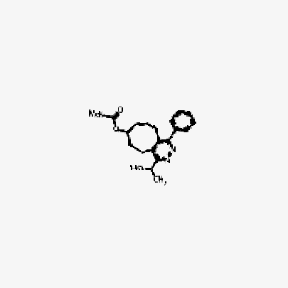 CNC(=O)OC1CCCc2c(-c3ccccc3)nnc(C(C)O)c2CC1